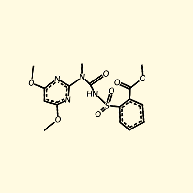 COC(=O)c1ccccc1S(=O)(=O)NC(=O)N(C)c1nc(OC)cc(OC)n1